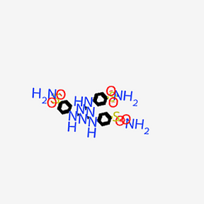 NOOSc1ccc(Nc2nc(Nc3ccc(S(N)(=O)=O)cc3)nc(Nc3ccc(S(N)(=O)=O)cc3)n2)cc1